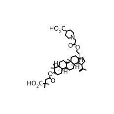 C=C(C)C1CC[C@]2(CCOC(=O)CN3CCC(C(=O)O)CC3)CC[C@]3(C)[C@H](CC[C@@H]4[C@@]5(C)CC[C@H](OC(=O)CC(C)(C)C(=O)O)C(C)(C)[C@@H]5CC[C@]43C)[C@@H]12